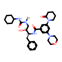 CCN(C[C@H](O)[C@H](Cc1ccccc1)NC(=O)c1cc(N2CCOCC2)cc(N2CCCCC2=O)c1)C(=O)NC1CCCCC1